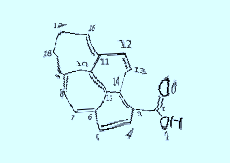 O=C(O)c1ccc2ccc3c4c(ccc1c24)=CCC3